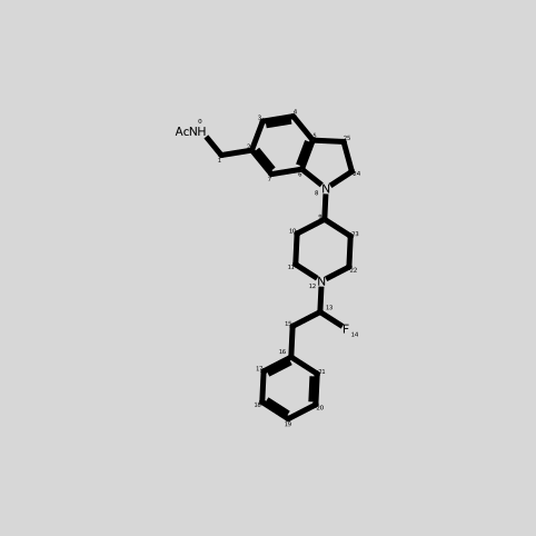 CC(=O)NCc1ccc2c(c1)N(C1CCN(C(F)Cc3ccccc3)CC1)CC2